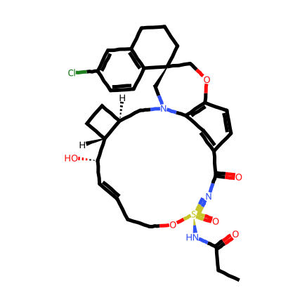 CCC(=O)N[S@]1(=O)=NC(=O)c2ccc3c(c2)N(C[C@@H]2CC[C@H]2[C@@H](O)/C=C/CCO1)C[C@@]1(CCCc2cc(Cl)ccc21)CO3